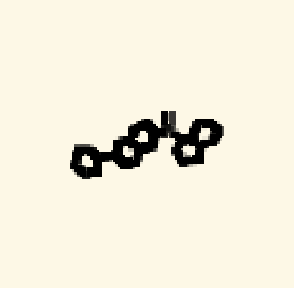 c1ccc(-c2ccc3cc(Nc4cccc5ccccc45)ccc3c2)cc1